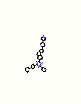 c1ccc(-c2ccc(-c3nc(-c4ccccc4)nc(-c4ccc5c(ccc6cc(-c7ccc(-c8ccncc8)cn7)ccc65)c4)n3)cc2)cc1